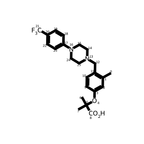 Cc1cc(OC(C)(C)C(=O)O)ccc1CN1CCN(c2ccc(C(F)(F)F)cc2)CC1